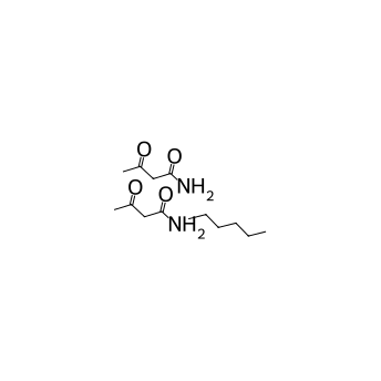 CC(=O)CC(N)=O.CC(=O)CC(N)=O.CCCCCC